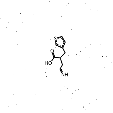 N=CCC(Cc1ccsc1)C(=O)O